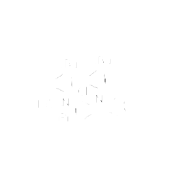 CC(C)C(C)N(c1ccc(C(C)(C)C)cc1)c1cccc(N(c2ccc(C3CCCCC3)cc2)c2ccc(C(C)(C)C)cc2)c1Cl